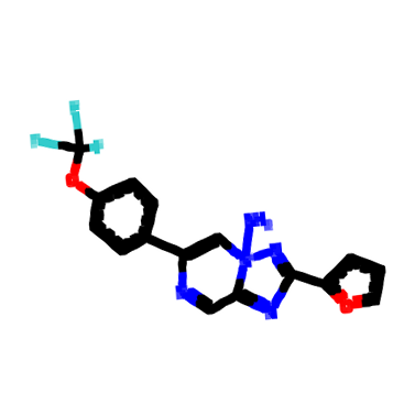 N[N+]12C=C(c3ccc(OC(F)(F)F)cc3)N=CC1=NC(c1ccco1)=N2